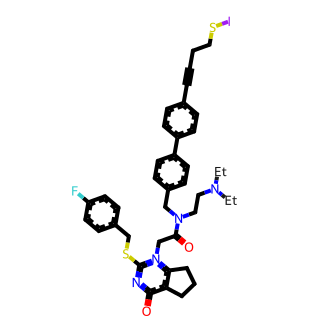 CCN(CC)CCN(Cc1ccc(-c2ccc(C#CCCSI)cc2)cc1)C(=O)Cn1c(SCc2ccc(F)cc2)nc(=O)c2c1CCC2